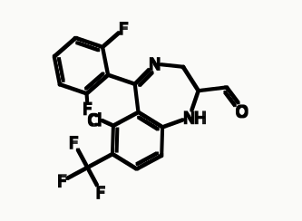 O=CC1CN=C(c2c(F)cccc2F)c2c(ccc(C(F)(F)F)c2Cl)N1